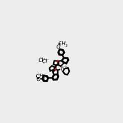 COc1ccc(-c2cccc3c2C=C(C2CCCC2)[CH]3[Ti+2]2([CH]3C(C4CCCC4)=Cc4c(-c5ccc(OC)cc5)cccc43)[CH]3CCCC[CH]32)cc1.[Cl-].[Cl-]